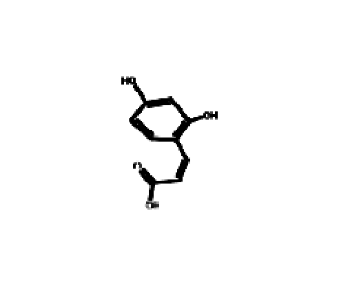 O=C(O)/C=C\c1ccc(O)cc1O